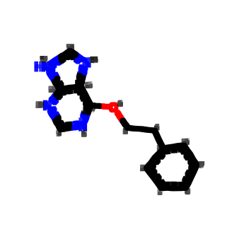 c1ccc(CCOc2ncnc3[nH]cnc23)cc1